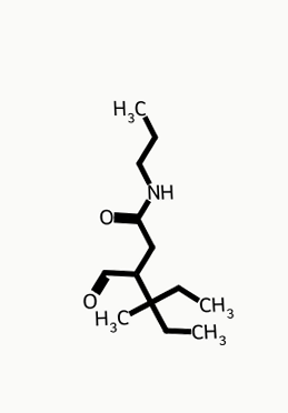 CCCNC(=O)CC(C=O)C(C)(CC)CC